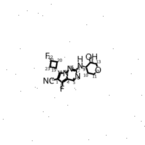 N#Cc1c(F)c2cnc(N[C@@H]3CCOC[C@H]3O)nn2c1[C@H]1C[C@@H](F)C1